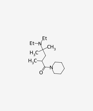 CCN(CC)C(C)(C)CC(C)C(=O)N1CCCCC1